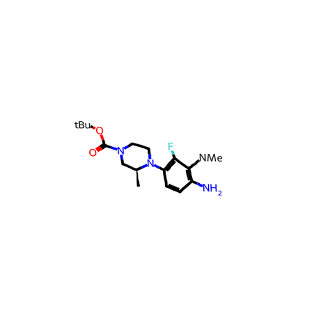 CNc1c(N)ccc(N2CCN(C(=O)OC(C)(C)C)C[C@@H]2C)c1F